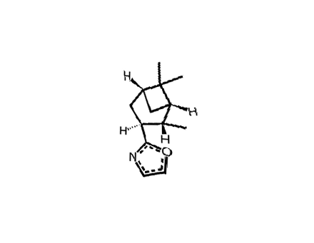 C[C@@H]1[C@@H](c2ncco2)C[C@H]2C[C@@H]1C2(C)C